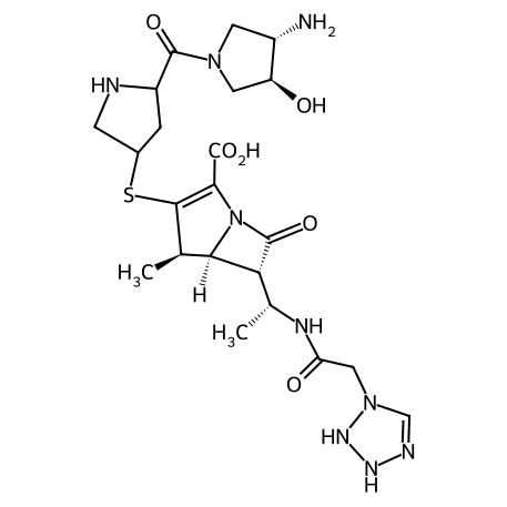 C[C@@H](NC(=O)CN1C=NNN1)[C@H]1C(=O)N2C(C(=O)O)=C(SC3CNC(C(=O)N4C[C@H](N)[C@@H](O)C4)C3)[C@H](C)[C@H]12